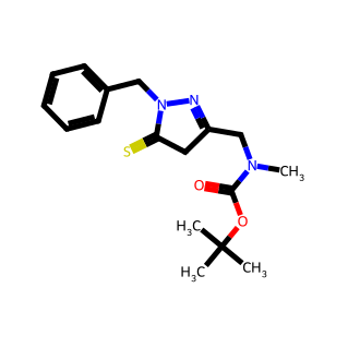 CN(CC1=NN(Cc2ccccc2)C(=S)C1)C(=O)OC(C)(C)C